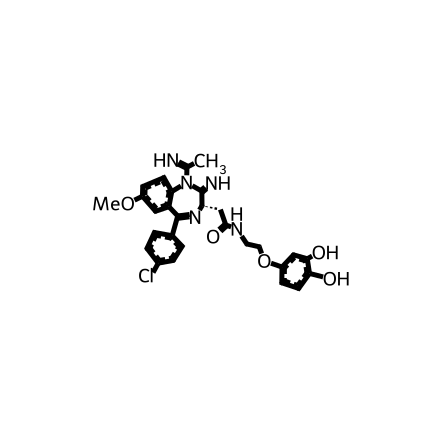 COc1ccc2c(c1)C(c1ccc(Cl)cc1)=N[C@@H](CC(=O)NCCOc1ccc(O)c(O)c1)C(=N)N2C(C)=N